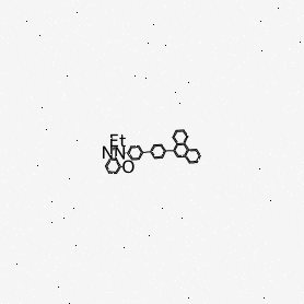 CCc1nc2cccc3c2n1-c1ccc(-c2ccc(-c4cc5ccccc5c5ccccc45)cc2)cc1O3